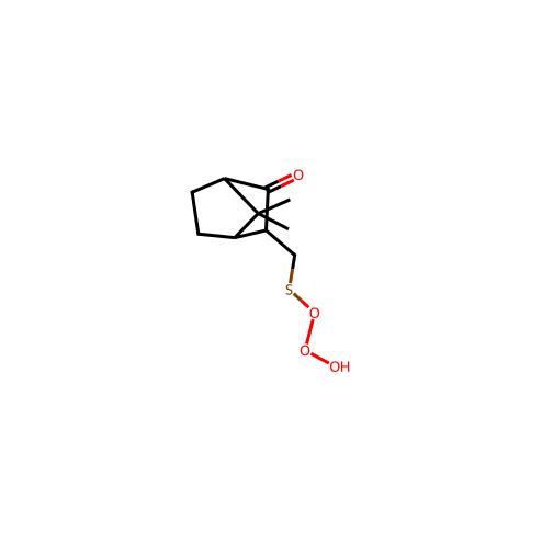 CC1(C)C2CCC1C(CSOOO)C2=O